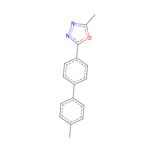 Cc1ccc(-c2ccc(-c3nnc(C)o3)cc2)cc1